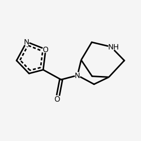 O=C(c1ccno1)N1CC2CNCC1C2